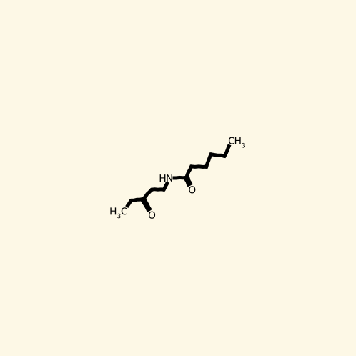 CCCCCC(=O)NCCC(=O)CC